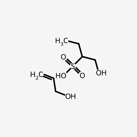 C=CCO.CCC(CO)S(=O)(=O)O